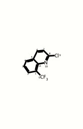 FC(F)(F)c1cccc2ccc(Cl)nc12